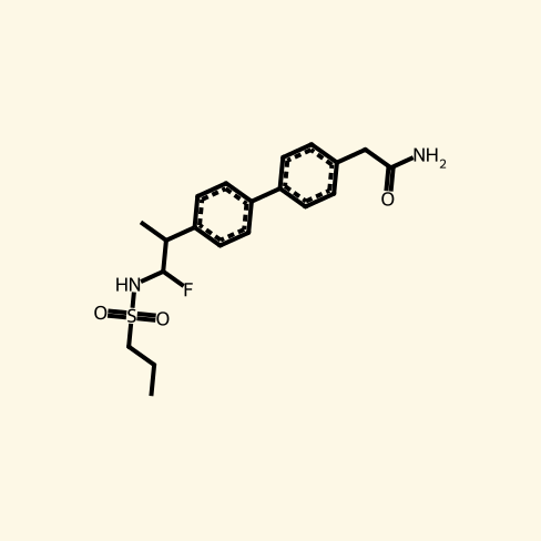 CCCS(=O)(=O)NC(F)C(C)c1ccc(-c2ccc(CC(N)=O)cc2)cc1